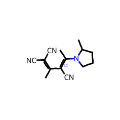 CC(=C(C#N)C#N)/C(C#N)=C(\C)N1CCCC1C